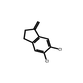 C=C1CCc2cc(Cl)c(Cl)cc21